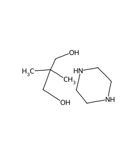 C1CNCCN1.CC(C)(CO)CO